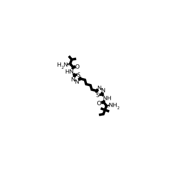 CCC(C)(C)[C@H](N)C(=O)Nc1nnc(CCCCc2nnc(NC(=O)[C@@H](N)C(C)C)s2)s1